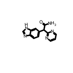 NC(=O)C(c1ccc2nc[nH]c2c1)c1ncccn1